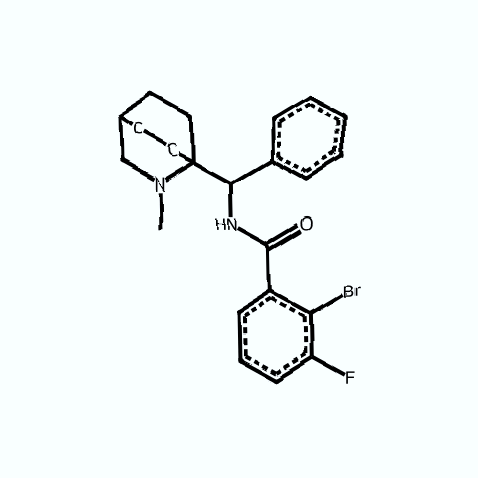 CN1CC2CCC1(C(NC(=O)c1cccc(F)c1Br)c1ccccc1)CC2